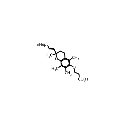 CCCCCCC/C=C/C1(C)CCc2c(C)c(OCCC(=O)O)c(C)c(C)c2O1